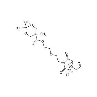 CC1(C)OCC(C)(C(=O)OCCOCCN2C(=O)[C@H]3CC4(C=CC3O4)C2=O)CO1